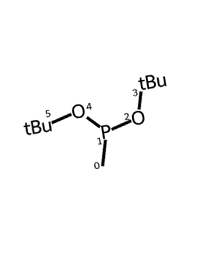 CP(OC(C)(C)C)OC(C)(C)C